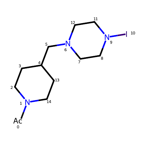 CC(=O)N1CCC(CN2CCN(I)CC2)CC1